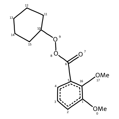 COc1cccc(C(=O)OO[C]2CCCCC2)c1OC